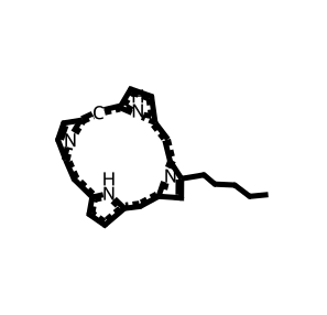 CCCCCC1=Cc2cc3ccc(cc4nc(cc5ccc(cc1n2)[nH]5)C=C4)[nH]3